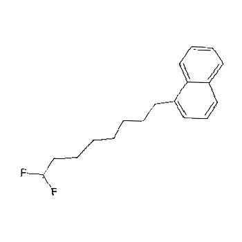 F[C](F)CCCCCCCc1cccc2ccccc12